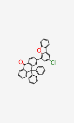 O=C1c2ccccc2C(c2ccccc2)(c2ccccc2)c2cc(-c3cc(Cl)cc4c3oc3ccccc34)ccc21